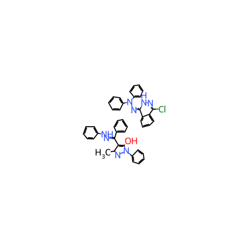 Cc1nn(-c2ccccc2)c(O)c1C(=NNc1ccccc1)c1ccccc1.Clc1n[nH]c(=NN(c2ccccc2)c2ccccc2)c2ccccc12